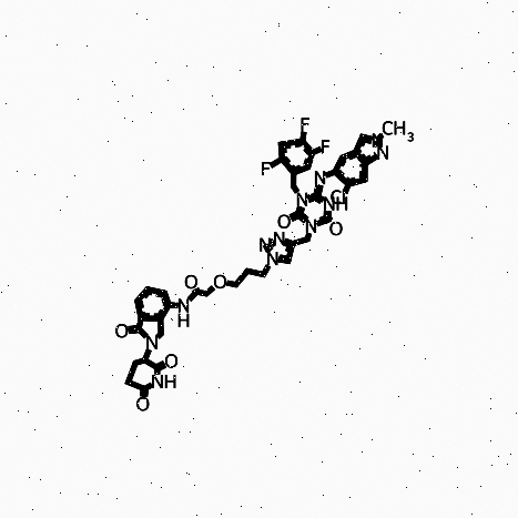 Cn1cc2cc(/N=c3\[nH]c(=O)n(Cc4cn(CCCOCC(=O)Nc5cccc6c5CN(C5CCC(=O)NC5=O)C6=O)nn4)c(=O)n3Cc3cc(F)c(F)cc3F)c(Cl)cc2n1